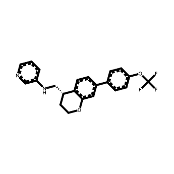 FC(F)(F)Oc1ccc(-c2ccc3c(c2)OCC[C@@H]3CNc2cccnc2)cc1